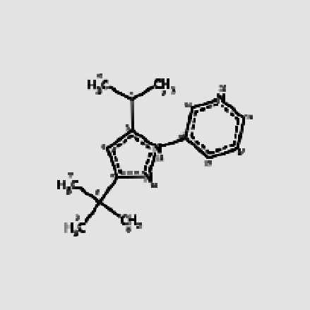 CC(C)c1cc(C(C)(C)C)nn1-c1cccnc1